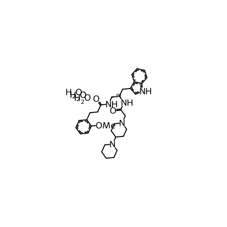 COc1ccccc1CCC(=O)NC[C@@H](Cc1c[nH]c2ccccc12)NC(=O)CN1CCC(N2CCCCC2)CC1.O.O.O